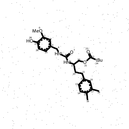 COc1cc(CNC(=O)NC(CCc2ccc(C)c(C)c2)COC(=O)C(C)(C)C)ccc1O